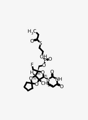 CCC(=O)SCCO[PH](=O)OC[C@@]1(CF)O[C@@H](n2ccc(=O)[nH]c2=O)C2(C)OC3(CCCC3)O[C@@H]21